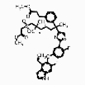 C=Cc1c(Oc2ccc(F)c(-c3nc(C(C)(CCCC(C)(C)CS(=O)(=O)CC(=O)OC)c4cccc(CCC(=O)OC)c4)cs3)c2)c(F)cc2[nH]ccc12